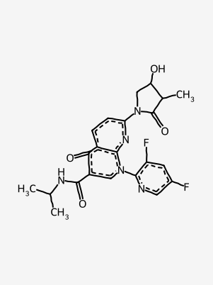 CC(C)NC(=O)c1cn(-c2ncc(F)cc2F)c2nc(N3CC(O)C(C)C3=O)ccc2c1=O